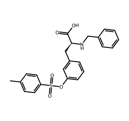 Cc1ccc(S(=O)(=O)Oc2cccc(C[C@H](NCc3ccccc3)C(=O)O)c2)cc1